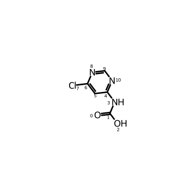 O=C(O)Nc1cc(Cl)ncn1